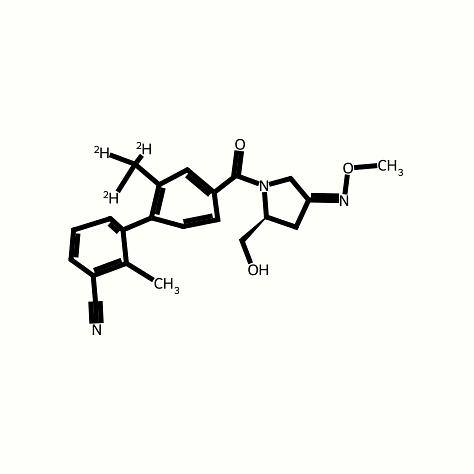 [2H]C([2H])([2H])c1cc(C(=O)N2C/C(=N\OC)C[C@H]2CO)ccc1-c1cccc(C#N)c1C